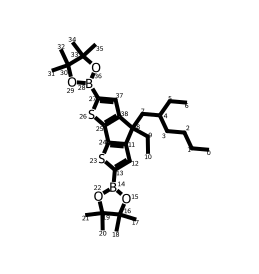 CCCCC(CC)CC1(CC)c2cc(B3OC(C)(C)C(C)(C)O3)sc2-c2sc(B3OC(C)(C)C(C)(C)O3)cc21